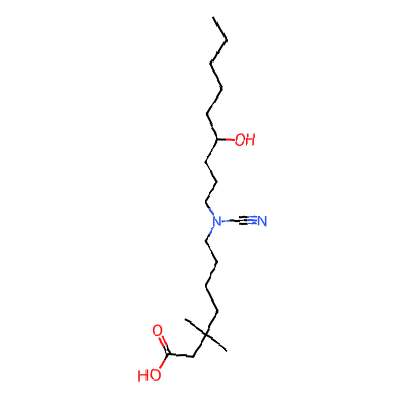 CCCCCC(O)CCCN(C#N)CCCCC(C)(C)CC(=O)O